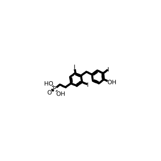 O=P(O)(O)CCc1cc(I)c(Cc2ccc(O)c(I)c2)c(I)c1